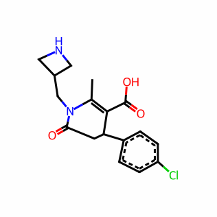 CC1=C(C(=O)O)C(c2ccc(Cl)cc2)CC(=O)N1CC1CNC1